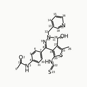 CC(=O)Nc1ccc(/C(=N/N(C)Cc2cccnc2)c2c(NC=S)sc(C)c2CO)cc1